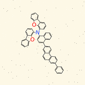 c1ccc(-c2ccc3c(ccc4cc(-c5ccc(N(c6cccc7c6oc6ccccc67)c6cccc7c6oc6ccccc67)c6ccccc56)ccc43)c2)cc1